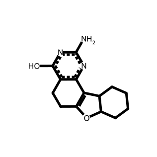 Nc1nc(O)c2c(n1)C1=C(CC2)OC2CCCCC12